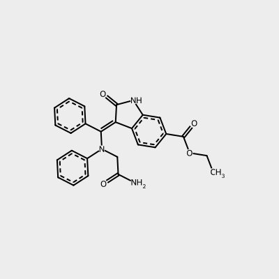 CCOC(=O)c1ccc2c(c1)NC(=O)C2=C(c1ccccc1)N(CC(N)=O)c1ccccc1